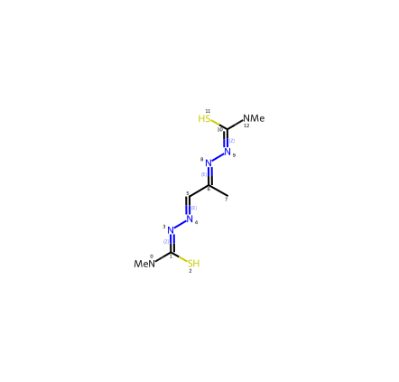 CN/C(S)=N/N=C/C(C)=N/N=C(\S)NC